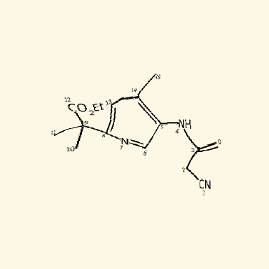 C=C(CC#N)Nc1cnc(C(C)(C)C(=O)OCC)cc1C